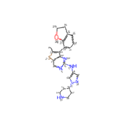 Cc1sc2cnc(Nc3cnn(C4CCNCC4)c3)nc2c1-c1cccc2c1OCC2